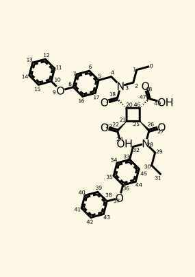 CCCN(Cc1ccc(Oc2ccccc2)cc1)C(=O)[C@H]1[C@H](C(=O)O)[C@H](C(=O)N(CCC)Cc2ccc(Oc3ccccc3)cc2)[C@H]1C(=O)O